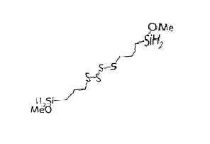 CO[SiH2]CCCSSSSCCC[SiH2]OC